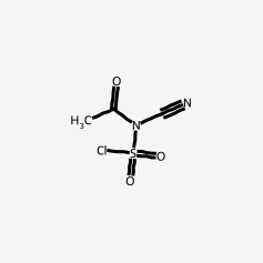 CC(=O)N(C#N)S(=O)(=O)Cl